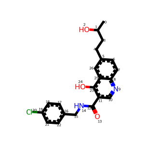 CC(O)CCc1ccc2ncc(C(=O)NCc3ccc(Cl)cc3)c(O)c2c1